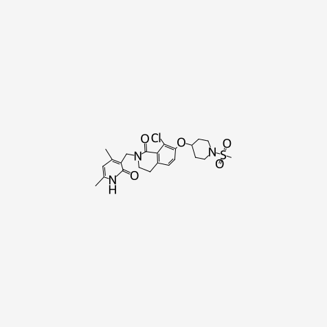 Cc1cc(C)c(CN2CCc3ccc(OC4CCN(S(C)(=O)=O)CC4)c(Cl)c3C2=O)c(=O)[nH]1